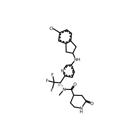 CN(C(=O)C1CCNC(=O)C1)[C@@H](c1ccc(NC2Cc3ccc(Cl)cc3C2)cn1)C(F)(F)F